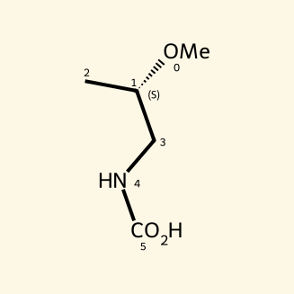 CO[C@@H](C)CNC(=O)O